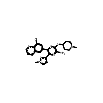 CN1CCC(Oc2nc(-c3cc(Cl)c4ncccc4c3)c(-c3ccn(C)n3)nc2N)CC1